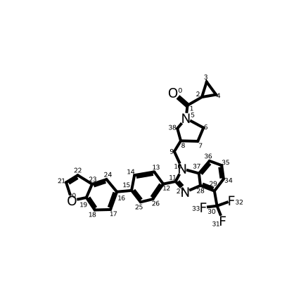 O=C(C1CC1)N1CCC(Cn2c(-c3ccc(-c4ccc5occc5c4)cc3)nc3c(C(F)(F)F)cccc32)C1